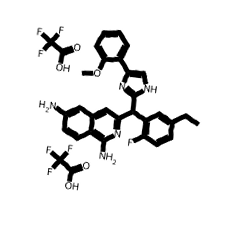 CCc1ccc(F)c(C(c2cc3cc(N)ccc3c(N)n2)c2nc(-c3ccccc3OC)c[nH]2)c1.O=C(O)C(F)(F)F.O=C(O)C(F)(F)F